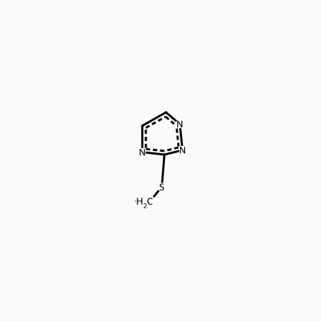 [CH2]Sc1nccnn1